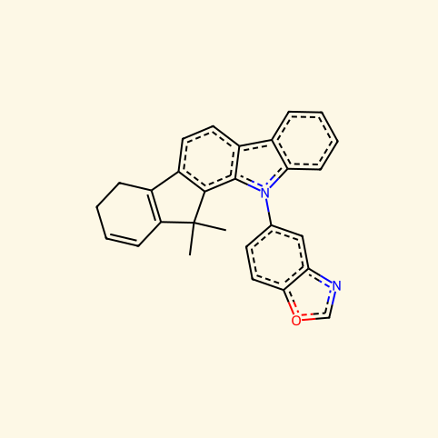 CC1(C)C2=C(CCC=C2)c2ccc3c4ccccc4n(-c4ccc5ocnc5c4)c3c21